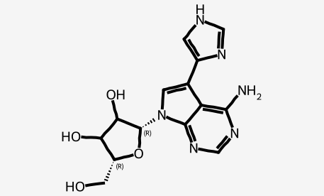 Nc1ncnc2c1c(-c1c[nH]cn1)cn2[C@@H]1O[C@H](CO)C(O)C1O